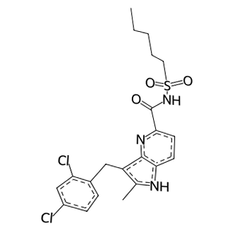 CCCCCS(=O)(=O)NC(=O)c1ccc2[nH]c(C)c(Cc3ccc(Cl)cc3Cl)c2n1